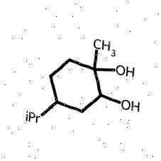 CC(C)C1CCC(C)(O)C(O)C1